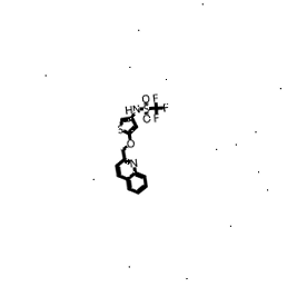 O=S(=O)(Nc1csc(OCc2ccc3ccccc3n2)c1)C(F)(F)F